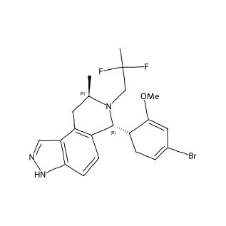 COC1=CC(Br)=CCC1[C@@H]1c2ccc3[nH]ncc3c2C[C@@H](C)N1CC(C)(F)F